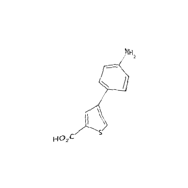 Nc1ccc(-c2csc(C(=O)O)c2)cc1